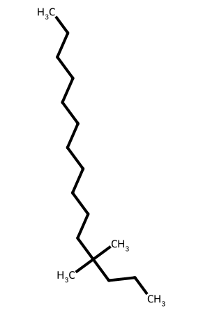 CCCCCCCCCCCC(C)(C)CCC